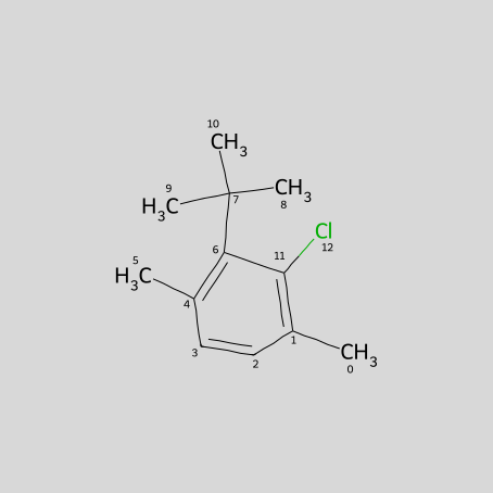 Cc1ccc(C)c(C(C)(C)C)c1Cl